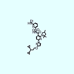 CCNc1cccc(S(=O)(=O)NC(=O)c2ccc(-n3ccc(OCCC(C4CC4)C4CC4)n3)nc2N2CC(C)CC2(C)C)n1